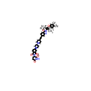 CC1(C)[C@H](NC(=O)c2ccc(C#CC3CCN(C4CCN(c5ccc6c(c5)C(=O)N(C5CCC(=O)NC5=O)C6=O)CC4)CC3)cc2)C(C)(C)[C@H]1Oc1ccc(C#N)c(C(F)(F)F)c1